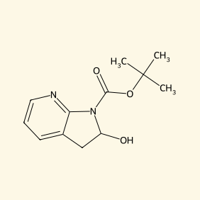 CC(C)(C)OC(=O)N1c2ncccc2CC1O